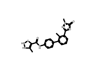 CC1=C(C(=O)Nc2ccc(-c3cccc(-c4nn(C)c(=O)o4)c3C)cc2)SNN1